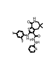 CC1(C)CNC(=O)c2sc(Nc3ccc(I)cc3F)c(C(=O)NNc3ccccn3)c2C1